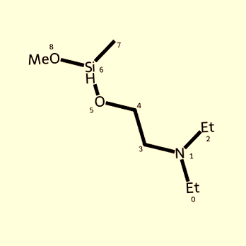 CCN(CC)CCO[SiH](C)OC